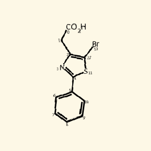 O=C(O)Cc1nc(-c2ccccc2)sc1Br